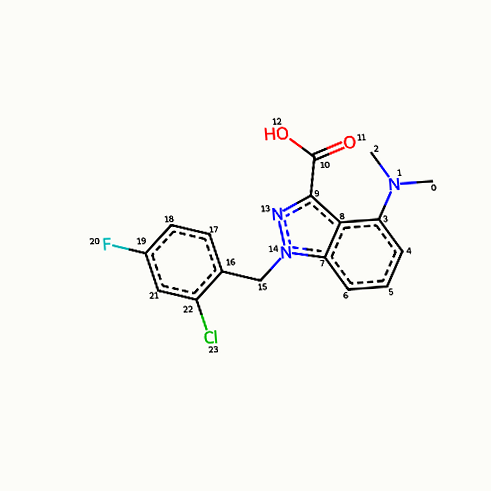 CN(C)c1cccc2c1c(C(=O)O)nn2Cc1ccc(F)cc1Cl